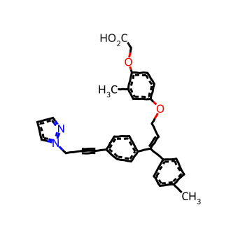 Cc1ccc(C(=CCOc2ccc(OCC(=O)O)c(C)c2)c2ccc(C#CCn3cccn3)cc2)cc1